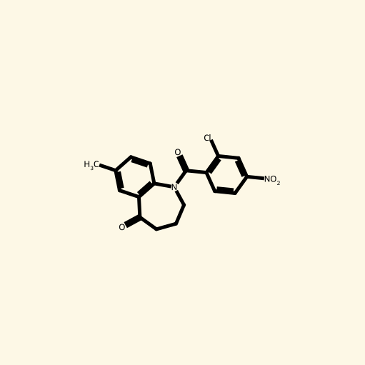 Cc1ccc2c(c1)C(=O)CCCN2C(=O)c1ccc([N+](=O)[O-])cc1Cl